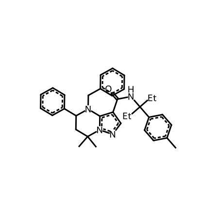 CCC(CC)(NC(=O)c1cnn2c1N(Cc1ccccc1)C(c1ccccc1)CC2(C)C)c1ccc(C)cc1